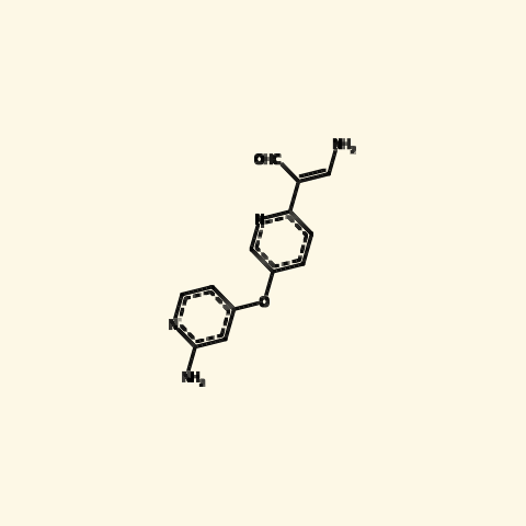 N/C=C(\C=O)c1ccc(Oc2ccnc(N)c2)cn1